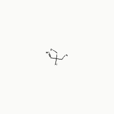 CC(=O)C(CC(C)C)(CC(C)C)N=N